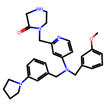 COc1cccc(CN(Cc2cccc(N3CCCC3)c2)c2ccnc(CN3CCNCC3=O)c2)c1